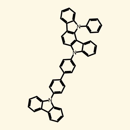 c1ccc(-n2c3ccccc3c3ccc4c(c5ccccc5n4-c4ccc(-c5ccc(-n6c7ccccc7c7ccccc76)cc5)cc4)c32)cc1